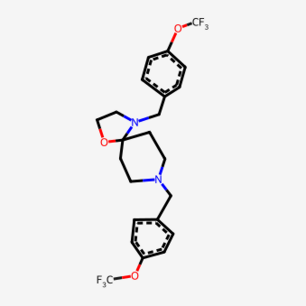 FC(F)(F)Oc1ccc(CN2CCC3(CC2)OCCN3Cc2ccc(OC(F)(F)F)cc2)cc1